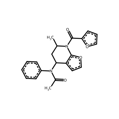 CC(=O)N(c1ccccc1)C1CC(C)N(C(=O)c2ccco2)c2occc21